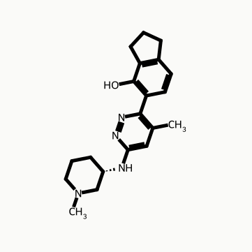 Cc1cc(N[C@H]2CCCN(C)C2)nnc1-c1ccc2c(c1O)CCC2